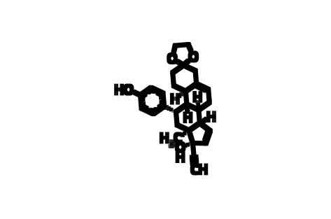 C#C[C@]1(O)C=C[C@H]2[C@@H]3CC=C4CC5(CC[C@@H]4[C@H]3[C@@H](c3ccc(O)cc3)C[C@@]21C)OCCO5